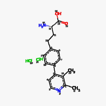 Cc1nccc(-c2ccc(CC[C@H](N)C(=O)O)cc2)c1C.Cl.Cl